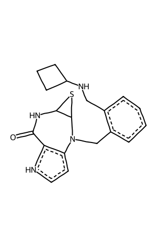 O=C1NC2SC2N(Cc2ccccc2CNC2CCC2)c2cc[nH]c21